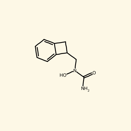 NC(=O)N(O)CC1Cc2ccccc21